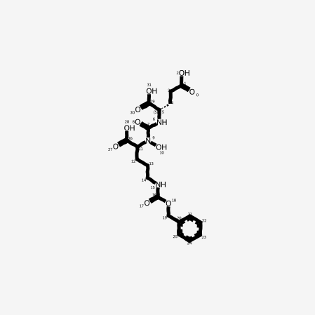 O=C(O)CC[C@H](NC(=O)N(O)C(CCCNC(=O)OCc1ccccc1)C(=O)O)C(=O)O